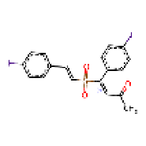 CC(=O)/C=C(\c1ccc(I)cc1)S(=O)(=O)C=Cc1ccc(I)cc1